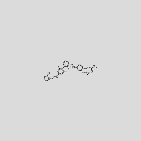 COC(=O)CC1c2ccc(NCc3cccc(-c4c(C)cc(OCCN5CCCC5=O)cc4C)c3C)cc2CC12CC2